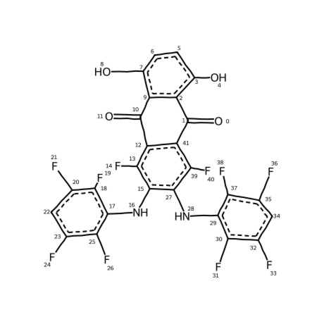 O=C1c2c(O)ccc(O)c2C(=O)c2c(F)c(Nc3c(F)c(F)cc(F)c3F)c(Nc3c(F)c(F)cc(F)c3F)c(F)c21